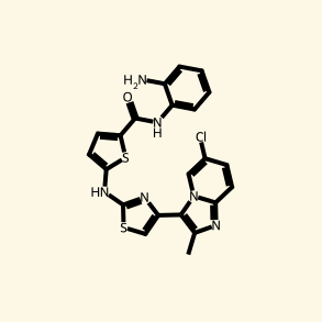 Cc1nc2ccc(Cl)cn2c1-c1csc(Nc2ccc(C(=O)Nc3ccccc3N)s2)n1